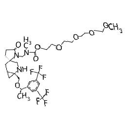 COCCOCCOCCOCCOC(=O)N(C)CN1C(=O)CC[C@@]12CN[C@]1(CO[C@H](C)c3cc(C(F)(F)F)cc(C(F)(F)F)c3)CC1C2